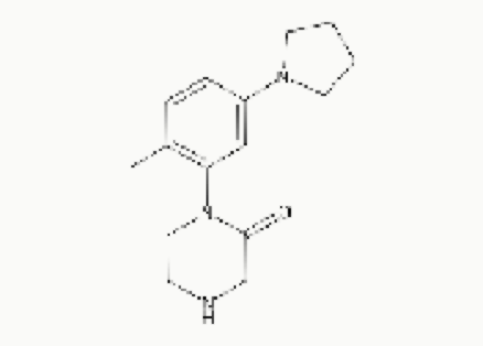 Cc1ccc(N2CCCC2)cc1N1CCNCC1=O